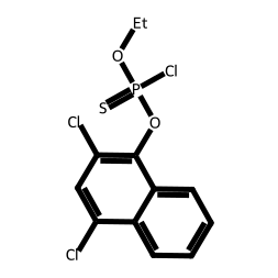 CCOP(=S)(Cl)Oc1c(Cl)cc(Cl)c2ccccc12